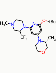 C[C@@H]1COCCN1c1cc(OC(C)(C)C)nc(N2CCN(C)CC2C(F)(F)F)c1